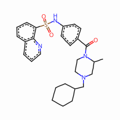 CC1CN(CC2CCCCC2)CCN1C(=O)c1ccc(NS(=O)(=O)c2cccc3cccnc23)cc1